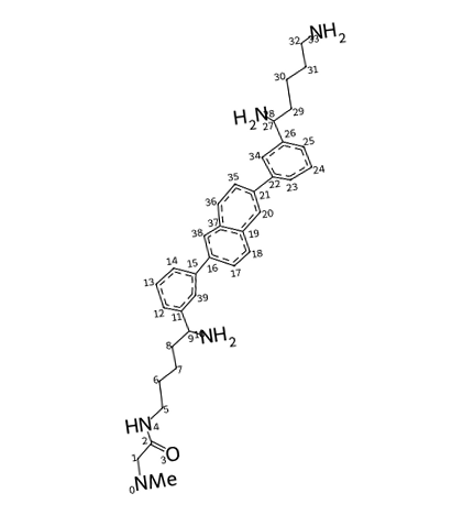 CNCC(=O)NCCCCC(N)c1cccc(-c2ccc3cc(-c4cccc(C(N)CCCCN)c4)ccc3c2)c1